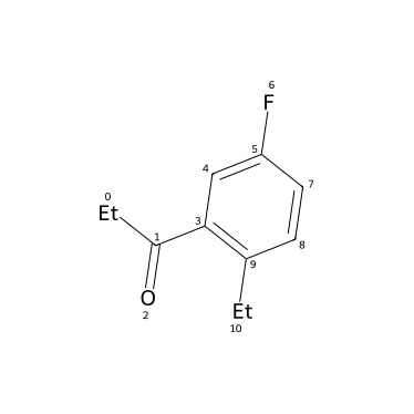 CCC(=O)c1cc(F)ccc1CC